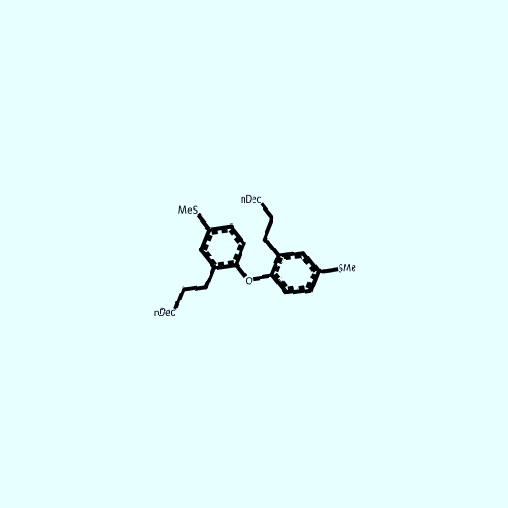 CCCCCCCCCCCCc1cc(SC)ccc1Oc1ccc(SC)cc1CCCCCCCCCCCC